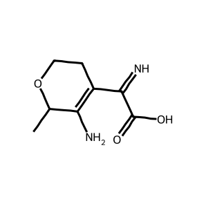 CC1OCCC(C(=N)C(=O)O)=C1N